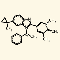 C=C1C(C)=CC(c2nc3ccc(C4(C(F)(F)F)CC4)cc3n2[C@@H](C)c2ccccc2)=CN1C